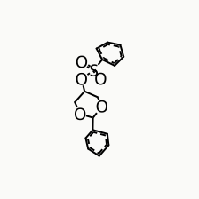 O=S(=O)(OC1COC(c2ccccc2)OC1)c1ccccc1